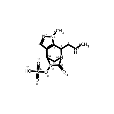 CNCC1c2c(cnn2C)C2CN1C(=O)N2OS(=O)(=O)O